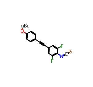 CCCCOc1ccc(C#Cc2cc(F)c(N=C=S)c(F)c2)cc1